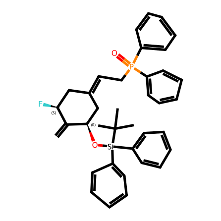 C=C1[C@@H](F)CC(=CCP(=O)(c2ccccc2)c2ccccc2)C[C@H]1O[Si](c1ccccc1)(c1ccccc1)C(C)(C)C